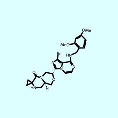 COc1ccc(CNc2nccn3c([C@H]4CN5C(=O)C6(CC6)NC[C@@H]5CO4)nc(Br)c23)c(OC)c1